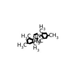 Cc1cc(C)c(-n2ccn(-c3c(C)cc(C)cc3C)[c]2=[Ni])c(C)c1